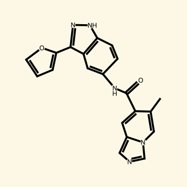 Cc1cn2cncc2cc1C(=O)Nc1ccc2[nH]nc(-c3ccco3)c2c1